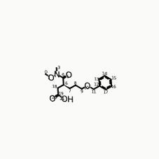 CON(C)C(=O)[C@@H](CCCOCc1ccccc1)CC(=O)O